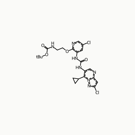 CC(C)(C)OC(=O)NCCOc1ncc(Cl)cc1NC(=O)Nc1cnc2cc(Cl)nn2c1C1CC1